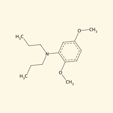 CCCN(CCC)c1cc(OC)ccc1OC